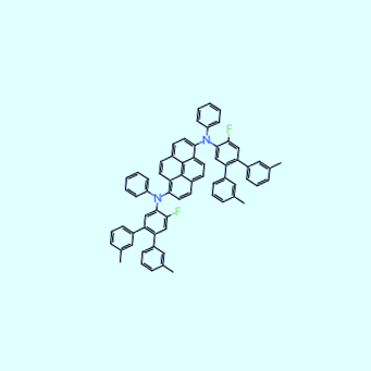 Cc1cccc(-c2cc(F)c(N(c3ccccc3)c3ccc4ccc5c(N(c6ccccc6)c6cc(-c7cccc(C)c7)c(-c7cccc(C)c7)cc6F)ccc6ccc3c4c65)cc2-c2cccc(C)c2)c1